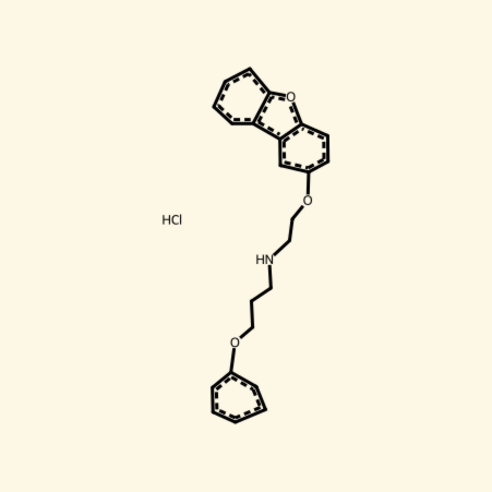 Cl.c1ccc(OCCCNCCOc2ccc3oc4ccccc4c3c2)cc1